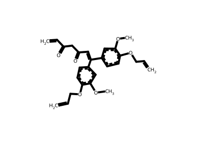 C=CCOc1ccc(C(=CC(=O)CC(=O)C=C)c2ccc(OCC=C)c(OC)c2)cc1OC